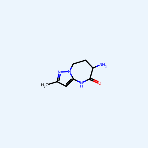 Cc1cc2n(n1)CCC(N)C(=O)N2